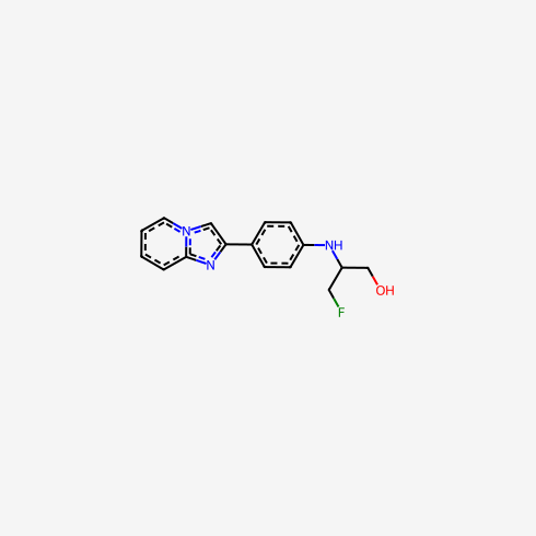 OCC(CF)Nc1ccc(-c2cn3ccccc3n2)cc1